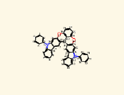 c1ccc(-n2c3ccccc3c3cc4c(cc32)Oc2cccc3c2B4c2cc4c5ccccc5n(-c5ccccc5)c4cc2O3)cc1